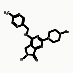 CC(=O)N1CCN(c2nc(NCc3cnc(C)cn3)c3c(n2)C(=O)N(C(C)C)C3)CC1